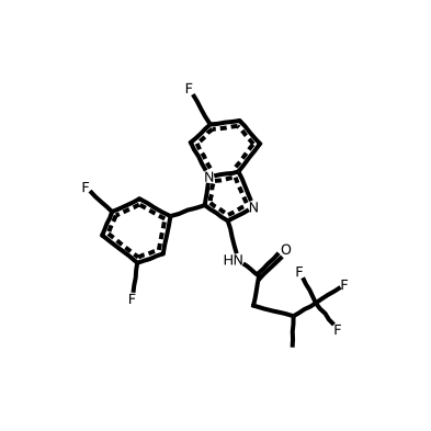 CC(CC(=O)Nc1nc2ccc(F)cn2c1-c1cc(F)cc(F)c1)C(F)(F)F